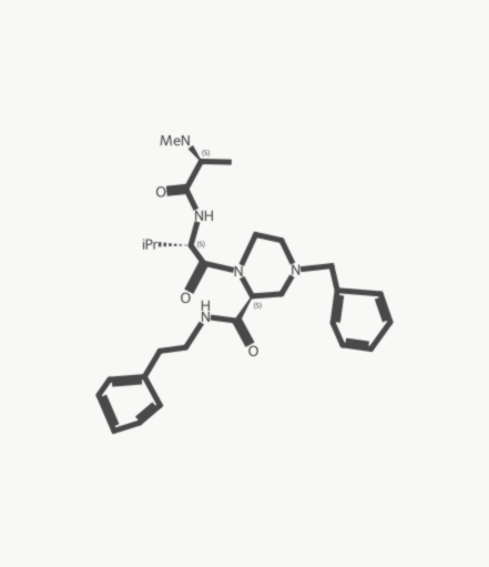 CN[C@@H](C)C(=O)N[C@H](C(=O)N1CCN(Cc2ccccc2)C[C@H]1C(=O)NCCc1ccccc1)C(C)C